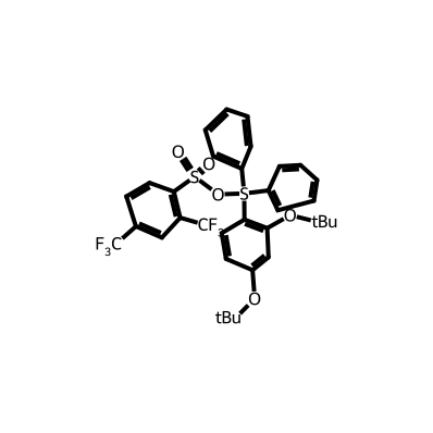 CC(C)(C)Oc1ccc(S(OS(=O)(=O)c2ccc(C(F)(F)F)cc2C(F)(F)F)(c2ccccc2)c2ccccc2)c(OC(C)(C)C)c1